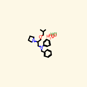 CC(C)COCC(CN(Cc1ccccc1)c1ccccc1)N1CCCC1.Cl.O.O